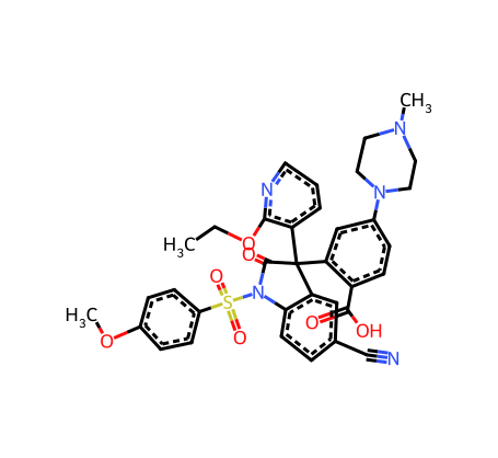 CCOc1ncccc1C1(c2cc(N3CCN(C)CC3)ccc2C(=O)O)C(=O)N(S(=O)(=O)c2ccc(OC)cc2)c2ccc(C#N)cc21